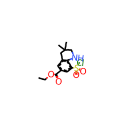 CCOC(=O)c1cc2c(c(S(=O)(=O)Cl)c1)NCC(C)(C)C2